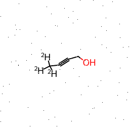 [2H]C([2H])([2H])C#CCO